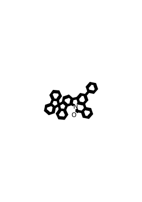 O=c1c2ccccc2c2cc(-c3ccccc3)cc3c4ccc5c(c4n1c23)-c1ccccc1C51c2ccccc2-c2ccccc21